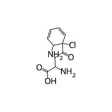 NC(CC(=O)C1(Cl)C=CC=CC1N)C(=O)O